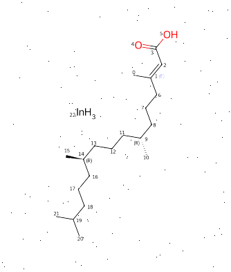 C/C(=C\C(=O)O)CCC[C@H](C)CCC[C@H](C)CCCC(C)C.[InH3]